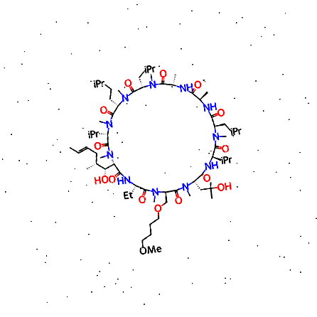 C/C=C/C[C@@H](C)[C@@H](O)[C@H]1C(=O)N[C@@H](CC)C(=O)N(C)[C@H](COCCCCOC)C(=O)N(C)[C@@H](CC(C)(C)O)C(=O)N[C@H](C(C)C)C(=O)N(C)[C@H](CC(C)C)C(=O)N[C@H](C)C(=O)N[C@@H](C)C(=O)N(C)[C@@H](CC(C)C)C(=O)N(C)[C@@H](CCC(C)C)C(=O)N(C)[C@@H](C(C)C)C(=O)N1C